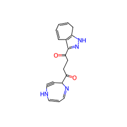 O=C(CCC(=O)C1C#CN/C=C\C=N/1)c1n[nH]c2c1C=CC=CC2